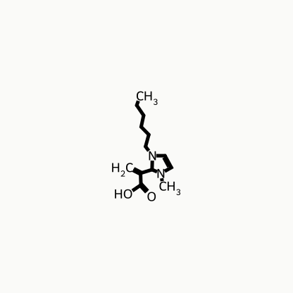 C=C(C(=O)O)C1N(C)C=CN1CCCCCC